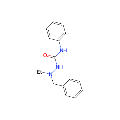 CCN(Cc1ccccc1)NC(=O)Nc1ccccc1